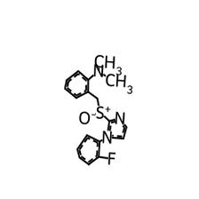 CN(C)c1ccccc1C[S+]([O-])c1nccn1-c1ccccc1F